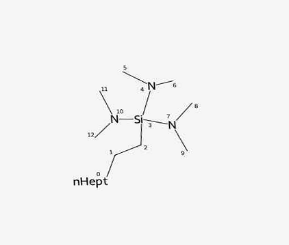 CCCCCCCCC[Si](N(C)C)(N(C)C)N(C)C